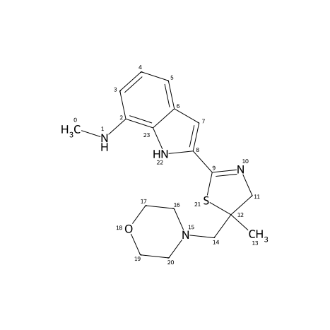 CNc1cccc2cc(C3=NCC(C)(CN4CCOCC4)S3)[nH]c12